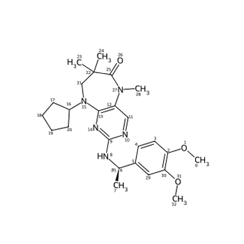 COc1ccc([C@@H](C)Nc2ncc3c(n2)N(C2CCCC2)CC(C)(C)C(=O)N3C)cc1OC